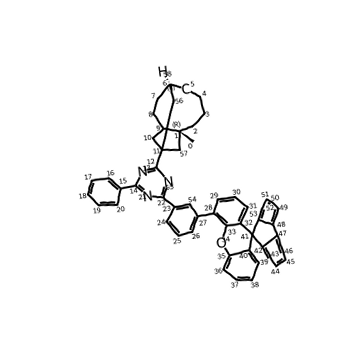 C[C@]12CCCC[C@@H]3CCC1CC(c1nc(-c4ccccc4)nc(-c4cccc(-c5cccc6c5Oc5ccccc5C65c6ccccc6-c6ccccc65)c4)n1)(C3)C2